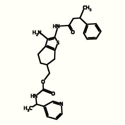 CC(CC(=O)Nc1sc2c(c1N)CCC(COC(=O)NC(C)c1cccnc1)C2)c1ccccc1